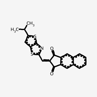 CC(C)c1cc2sc(C=C3C(=O)c4cc5ccccc5cc4C3=O)nc2s1